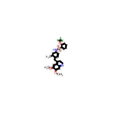 COc1cc2nccc(Cc3ccc(NS(=O)(=O)c4ccccc4OC(F)(F)F)cc3C)c2cc1OC